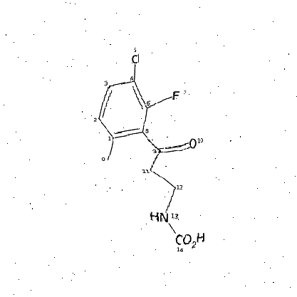 Cc1ccc(Cl)c(F)c1C(=O)CCNC(=O)O